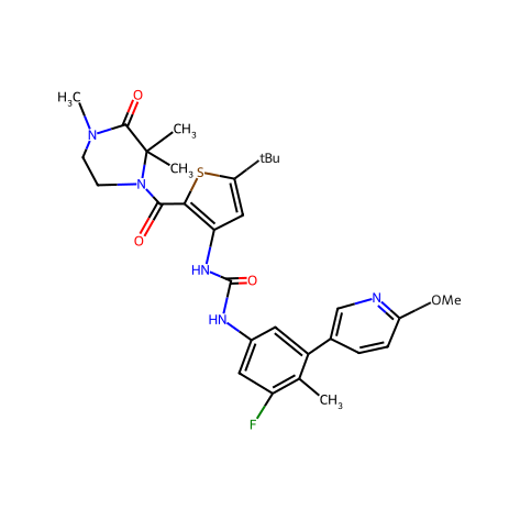 COc1ccc(-c2cc(NC(=O)Nc3cc(C(C)(C)C)sc3C(=O)N3CCN(C)C(=O)C3(C)C)cc(F)c2C)cn1